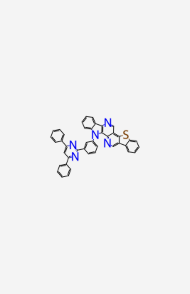 c1ccc(-c2cc(-c3ccccc3)nc(-c3cccc(-n4c5ccccc5c5ncc6c(ncc7c8ccccc8sc76)c54)c3)n2)cc1